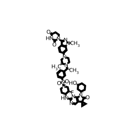 C[C@@H]1CN(c2ccc3c(N4CCC(=O)NC4=O)nn(C)c3c2)CCN1[C@H](C)c1cccc(S(=O)(=O)N2CC[C@H](Nc3ncc4c(n3)N([C@@H]3CCC[C@@H](O)C3)C(=O)C43CC3)[C@H](F)C2)c1